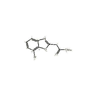 COC(=O)Cc1nc2cccc(Br)c2o1